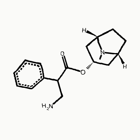 CN1[C@@H]2CC[C@H]1C[C@@H](OC(=O)C(CN)c1ccccc1)C2